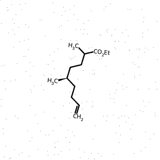 C=CCC[C@@H](C)CCC(C)C(=O)OCC